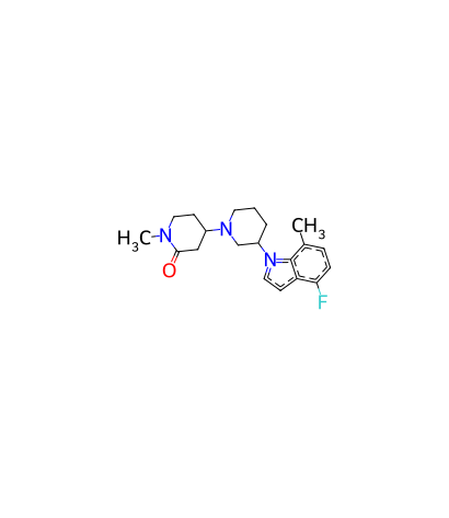 Cc1ccc(F)c2ccn(C3CCCN(C4CCN(C)C(=O)C4)C3)c12